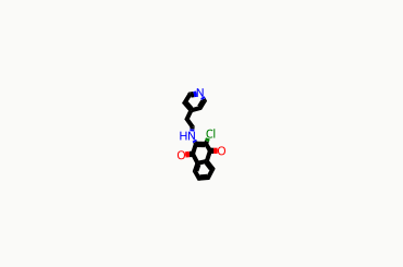 O=C1C(Cl)=C(NCCc2ccncc2)C(=O)c2ccccc21